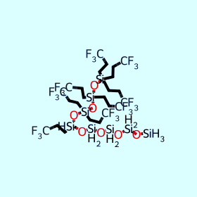 FC(F)(F)CC[SiH](O[SiH2]O[SiH2]O[SiH2]O[SiH3])O[Si](CCC(F)(F)F)(CCC(F)(F)F)O[Si](CCC(F)(F)F)(CCC(F)(F)F)O[Si](CCC(F)(F)F)(CCC(F)(F)F)CCC(F)(F)F